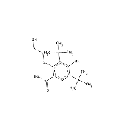 CC(C)(C)c1cc(C(=O)O)c(SCCO)c(C(C)(C)C)c1O